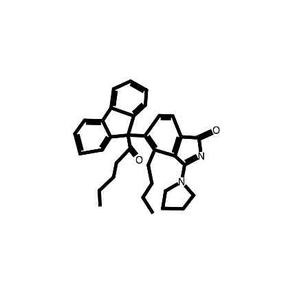 CCCCC(=O)C1(c2ccc3c(c2CCCC)C(N2CCCC2)=NC3=O)c2ccccc2-c2ccccc21